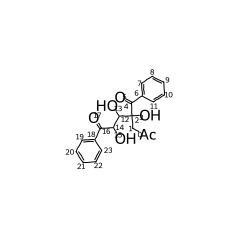 CC(=O)CC(O)(C(=O)c1ccccc1)C(O)C(O)C(=O)c1ccccc1